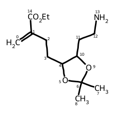 C=C(CCC1OC(C)(C)OC1CCN)C(=O)OCC